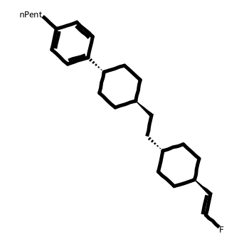 CCCCCc1ccc([C@H]2CC[C@H](CC[C@H]3CC[C@H](C=CF)CC3)CC2)cc1